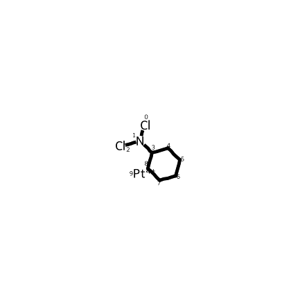 ClN(Cl)C1CCCCC1.[Pt+4]